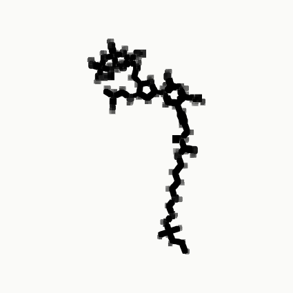 CCCC(C)(C)SSCOCCCCOC(=O)NCC#Cc1cn([C@H]2C[C@H](OCS(C)=S)[C@@H](COP(=O)(O)OP(=O)(O)OP(=O)(O)O)O2)c(=O)nc1N